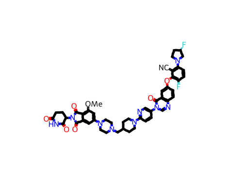 COc1cc(N2CCN(CC3CCN(c4ccc(-n5cnc6ccc(Oc7c(F)ccc(N8CC[C@@H](F)C8)c7C#N)cc6c5=O)cn4)CC3)CC2)cc2c1C(=O)N(C1CCC(=O)NC1=O)C2=O